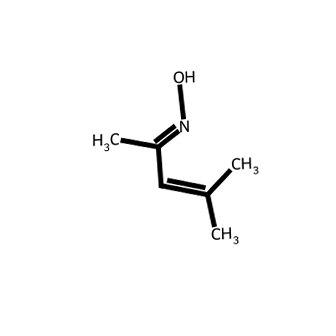 CC(C)=CC(C)=NO